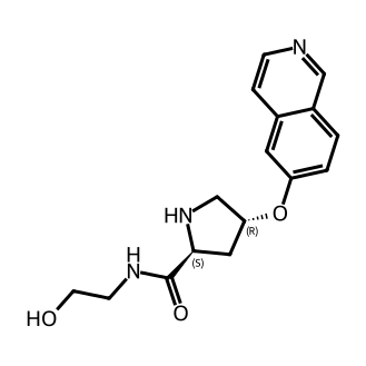 O=C(NCCO)[C@@H]1C[C@@H](Oc2ccc3cnccc3c2)CN1